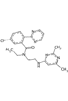 CCN(CCNc1cc(C)nc(C)n1)C(=O)c1cc(Cl)ccc1-c1ncccn1